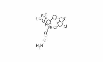 CN1Cc2c(Cl)cc(Cl)cc2[C@H](c2cccc(-c3ccnc(NCCOCCOCCN)c3)c2)C1.O=C(O)C(F)(F)F